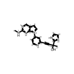 CNc1ncc2ccn(-c3ccnc(C#CC(C)(O)c4nccs4)c3)c2n1